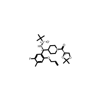 C=CCOc1cc(C)c(F)cc1[C@@H](N[S@@+]([O-])C(C)(C)C)C1CCN(C(=O)[C@H]2COC(C)(C)O2)CC1